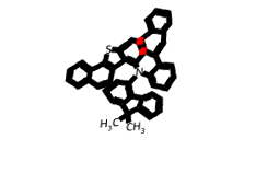 CC1(C)c2ccccc2-c2c(N(c3ccccc3-c3ccc4ccccc4c3)c3cccc4sc5c6ccccc6ccc5c34)cccc21